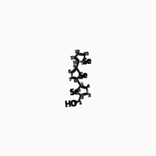 OCc1ccc(-c2ccc(-c3ccc[se]3)[se]2)[se]1